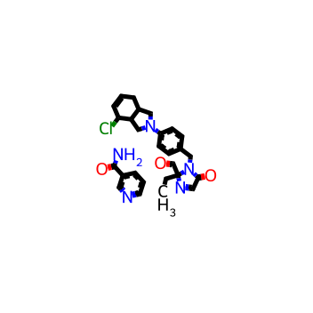 CCC1(C=O)N=CC(=O)N1Cc1ccc(N2CC3CC=CC(Cl)C3C2)cc1.NC(=O)c1cccnc1